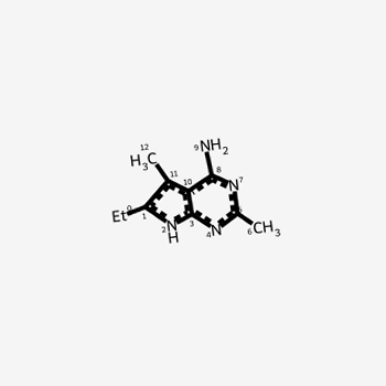 CCc1[nH]c2nc(C)nc(N)c2c1C